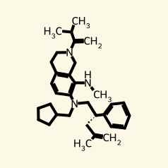 C=C(C)C[C@H](CN(CC1CCCC1)c1ccc2c(c1NC)CN(C(=C)C(C)C)CC2)c1ccccc1